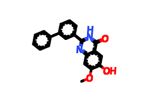 COc1cc2nc(-c3cccc(-c4ccccc4)c3)[nH]c(=O)c2cc1O